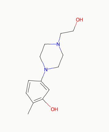 Cc1ccc(N2CCN(CCO)CC2)cc1O